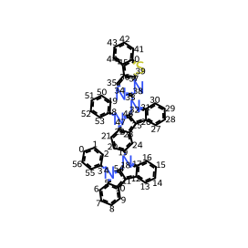 c1ccc(-n2c3ccccc3c3c4ccccc4n(-c4ccc5c(c4)c4c6ccccc6n(-c6ncc7c(n6)sc6ccccc67)c4n5-c4ccccc4)c32)cc1